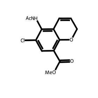 COC(=O)c1cc(Cl)c(NC(C)=O)c2c1OCC=C2